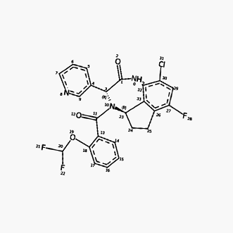 NC(=O)[C@@H](c1cccnc1)N(C(=O)c1ccccc1OC(F)F)[C@@H]1CCc2c(F)cc(Cl)cc21